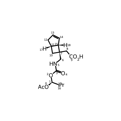 CC(=O)O[C@@H](OC(=O)NC[C@@]1(CC(=O)O)C[C@@H]2CC=C[C@@H]21)C(C)C